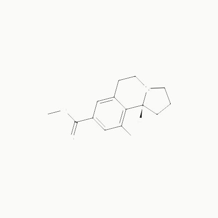 COC(=O)c1cc(F)c2c(c1)CCN1CCC[C@H]21